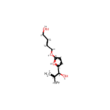 C=C(CCC)C(O)c1ccc(OCCCCO)o1